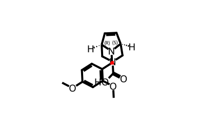 COc1ccc(CN2[C@@H]3C=C[C@H]2CN(C(=O)O)C3)c(OC)c1